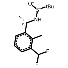 Cc1c(C(F)F)cccc1[C@H](C)N[S+]([O-])C(C)(C)C